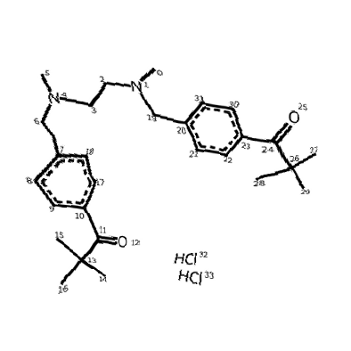 CN(CCN(C)Cc1ccc(C(=O)C(C)(C)C)cc1)Cc1ccc(C(=O)C(C)(C)C)cc1.Cl.Cl